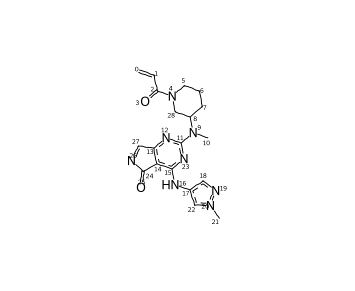 C=CC(=O)N1CCCC(N(C)c2nc3c(c(Nc4cnn(C)c4)n2)C(=O)N=C3)C1